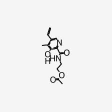 C=Cc1cnc(C(=O)NCCOC(C)=O)c(O)c1C